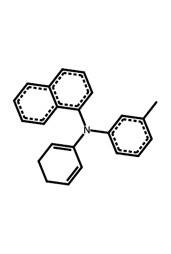 Cc1cccc(N(C2=CCCC=C2)c2cccc3ccccc23)c1